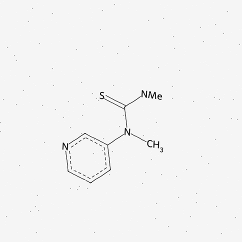 CNC(=S)N(C)c1cccnc1